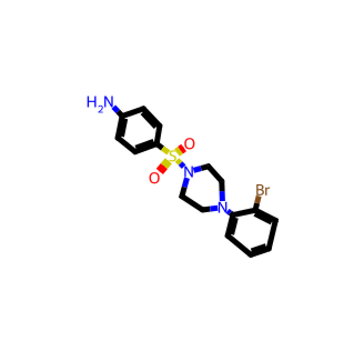 Nc1ccc(S(=O)(=O)N2CCN(c3ccccc3Br)CC2)cc1